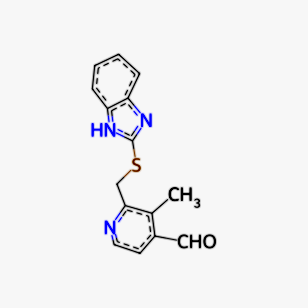 Cc1c(C=O)ccnc1CSc1nc2ccccc2[nH]1